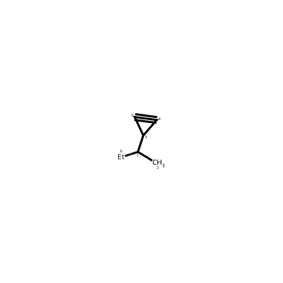 CCC(C)C1C#C1